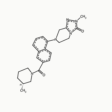 C[C@@H]1CCCN(C(=O)c2ccc3c(N4CCn5c(nn(C)c5=O)C4)cccc3c2)C1